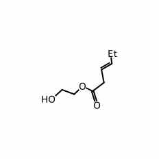 CCC=CCC(=O)OCCO